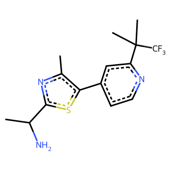 Cc1nc(C(C)N)sc1-c1ccnc(C(C)(C)C(F)(F)F)c1